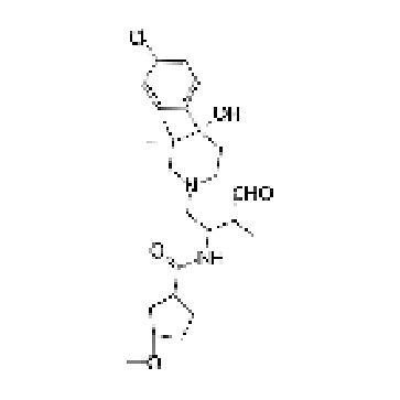 C[C@@H](C=O)C(CN1CC[C@](O)(c2ccc(Cl)cc2)C(C)(C)C1)NC(=O)C1CCC2(CCO2)C1